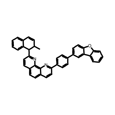 CC1C=Cc2ccccc2C1c1ccc2ccc3ccc(-c4ccc(-c5ccc6oc7ccccc7c6c5)cc4)nc3c2n1